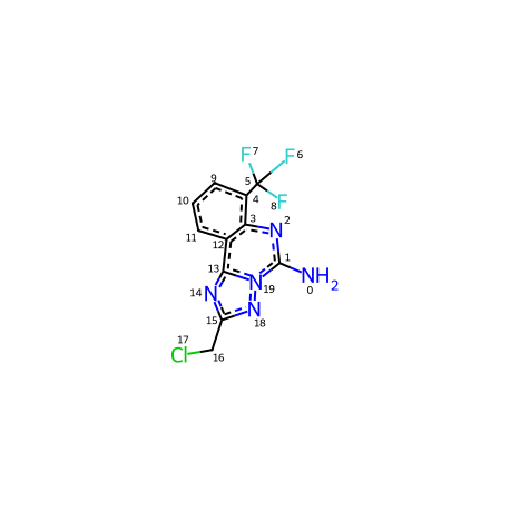 Nc1nc2c(C(F)(F)F)cccc2c2nc(CCl)nn12